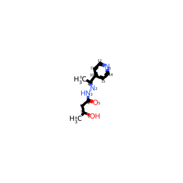 CC(=NNC(=O)CC(C)O)c1ccncc1